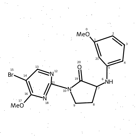 COc1cccc(NC2CCN(c3ncc(Br)c(OC)n3)C2=O)c1